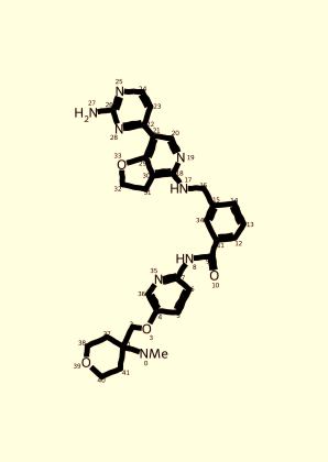 CNC1(COc2ccc(NC(=O)c3cccc(CNc4ncc(-c5ccnc(N)n5)c5c4CCO5)c3)nc2)CCOCC1